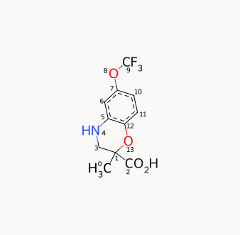 CC1(C(=O)O)CNc2cc(OC(F)(F)F)ccc2O1